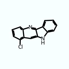 Clc1cccc2nc3c(cc12)[nH]c1ccccc13